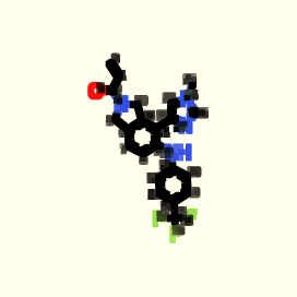 C=CC(=O)N1Cc2ccc(Nc3ccc(C(F)(F)F)cc3)c(-c3cn(C)cn3)c2C1